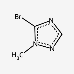 Cn1ncnc1Br